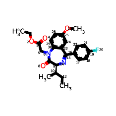 CCOC(=O)CN1C(=O)[C@H](C(C)CC)N=C(c2ccc(F)cc2)c2cc(OC)ccc21